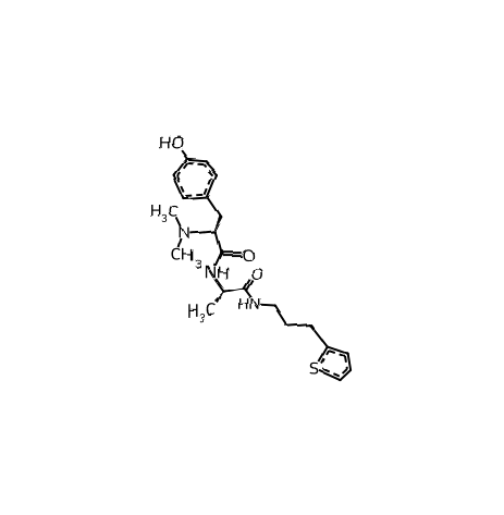 C[C@@H](NC(=O)[C@H](Cc1ccc(O)cc1)N(C)C)C(=O)NCCCc1cccs1